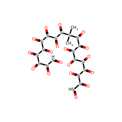 C[Si](C)([Si](=O)[Si](=O)[Si](=O)[Si](=O)[Si](=O)[Si](=O)[Si](=O)[Si](=O)[SiH]=O)[Si](=O)[Si](=O)[Si](=O)[Si](=O)[Si](=O)[Si](=O)[Si](=O)[Si](=O)[SiH]=O